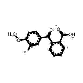 COc1ccc(C(=O)c2ccccc2C(=O)O)cc1F